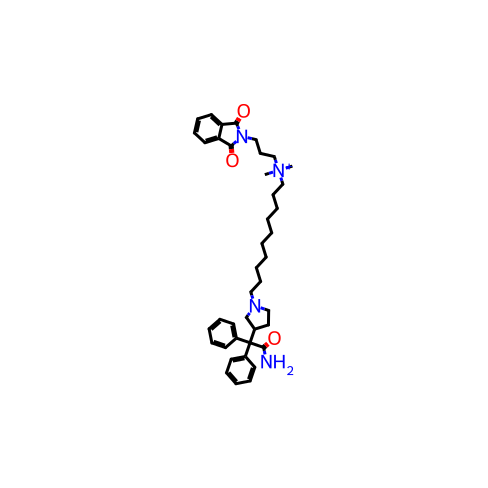 C[N+](C)(CCCCCCCCCCN1CCC(C(C(N)=O)(c2ccccc2)c2ccccc2)C1)CCCN1C(=O)c2ccccc2C1=O